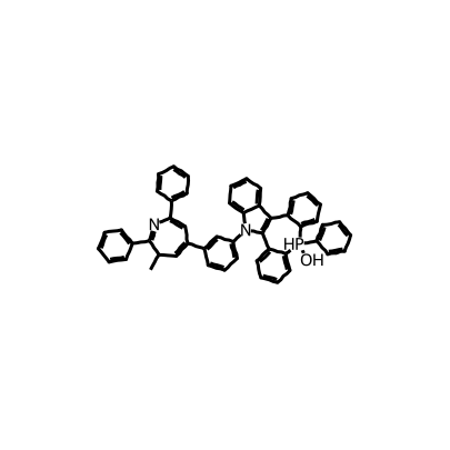 CC1C=C(c2cccc(-n3c4c(c5ccccc53)-c3ccccc3[PH](O)(c3ccccc3)c3ccccc3-4)c2)C=C(c2ccccc2)N=C1c1ccccc1